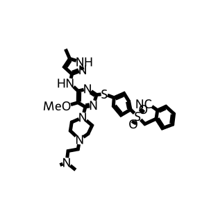 COc1c(Nc2cc(C)[nH]n2)nc(Sc2ccc(S(=O)(=O)Cc3ccccc3C#N)cc2)nc1N1CCN(CCN(C)C)CC1